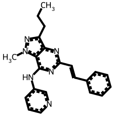 CCCc1nn(C)c2c(Nc3cccnc3)nc(/C=C/c3ccccc3)nc12